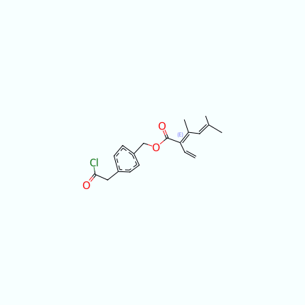 C=C/C(C(=O)OCc1ccc(CC(=O)Cl)cc1)=C(/C)C=C(C)C